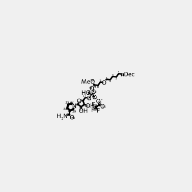 CCCCCCCCCCCCCCCOCCC(OC)OOP(=O)(O)OCC1OC([n+]2cccc(C(N)=O)c2)C(O)C1O.O=C([O-])C(F)(F)F